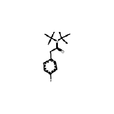 CC(C)(C)N(C(=O)Cc1ccc(F)cc1)C(C)(C)C